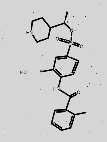 Cc1ccccc1C(=O)Nc1ccc(S(=O)(=O)N[C@H](C)C2CCNCC2)cc1F.Cl